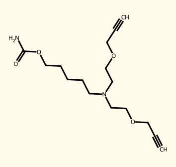 C#CCOCCN(CCCCCOC(N)=O)CCOCC#C